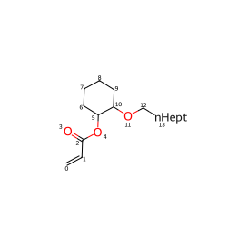 C=CC(=O)OC1CCCCC1OCCCCCCCC